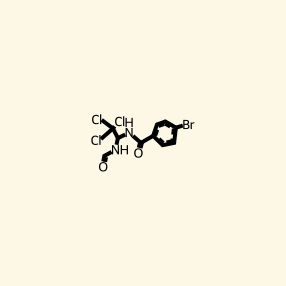 O=CNC(NC(=O)c1ccc(Br)cc1)C(Cl)(Cl)Cl